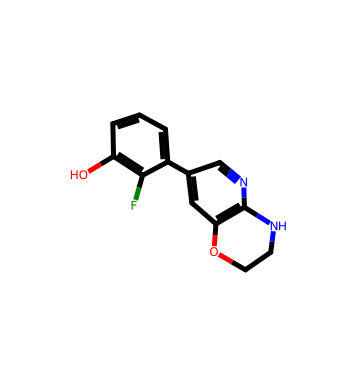 Oc1cccc(-c2cnc3c(c2)OCCN3)c1F